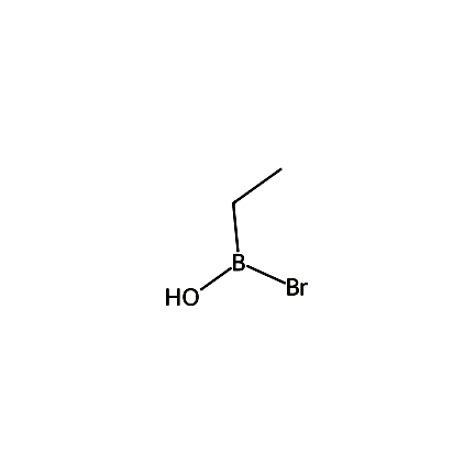 CCB(O)Br